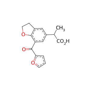 CC(C(=O)O)c1cc2c(c(C(=O)c3ccco3)c1)OCC2